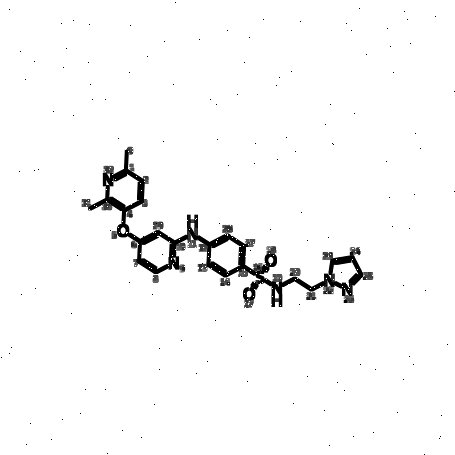 Cc1ccc(Oc2ccnc(Nc3ccc(S(=O)(=O)NCCn4cccn4)cc3)c2)c(C)n1